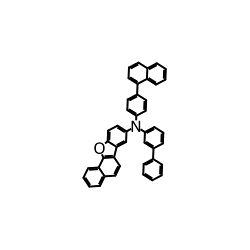 c1ccc(-c2cccc(N(c3ccc(-c4cccc5ccccc45)cc3)c3ccc4oc5c6ccccc6ccc5c4c3)c2)cc1